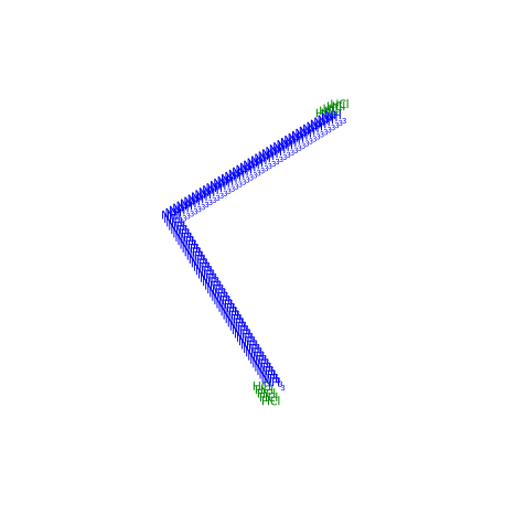 Cl.Cl.Cl.Cl.Cl.Cl.Cl.Cl.Cl.Cl.N.N.N.N.N.N.N.N.N.N.N.N.N.N.N.N.N.N.N.N.N.N.N.N.N.N.N.N.N.N.N.N.N.N.N.N.N.N.N.N.N.N.N.N.N.N.N.N.N.N.N.N.N.N.N.N.N.N.N.N.N.N.N.N.N.N.N.N.N.N.N.N.N.N.N.N.N.N.N.N.N.N.N.N.N.N.N.N.N.N